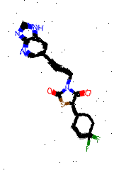 O=C1SC(=C2CCC(F)(F)CC2)C(=O)N1CC#Cc1cnc2nc[nH]c2c1